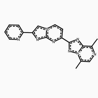 Cc1ncc(C)n2nc(-c3ccn4cc(-c5ccccn5)nc4n3)nc12